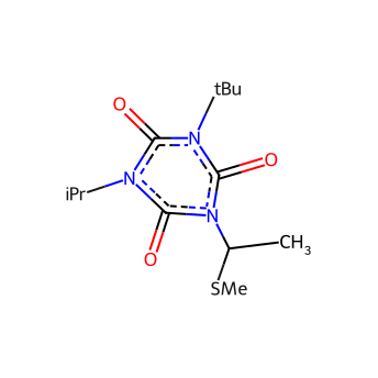 CSC(C)n1c(=O)n(C(C)C)c(=O)n(C(C)(C)C)c1=O